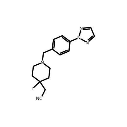 N#CCC1(I)CCN(Cc2ccc(-n3nccn3)cc2)CC1